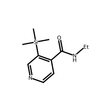 CCNC(=O)c1ccncc1[Si](C)(C)C